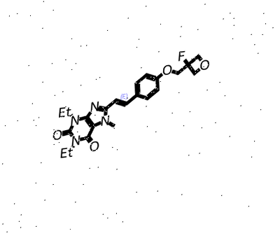 CCn1c(=O)c2c(nc(/C=C/c3ccc(OCC4(F)COC4)cc3)n2C)n(CC)c1=O